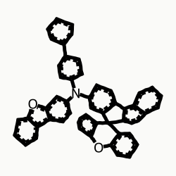 c1ccc(-c2ccc(N(c3ccc4c(c3)C3(c5ccccc5Oc5ccccc53)c3ccc5ccccc5c3-4)c3ccc4c(c3)oc3ccccc34)cc2)cc1